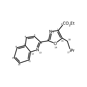 CCOC(=O)c1nc(-c2ccc3ccccc3n2)oc1CC(C)C